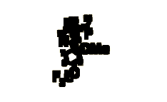 COc1cc(OC(F)(F)F)ccc1-c1cn2c(C(C)F)nnc2cn1